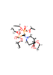 CCOP(=O)(OCC)C(N1CCC2(CC1)OCCO2)P(=O)(OCC)OCC